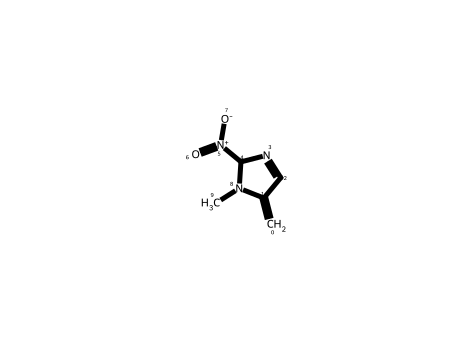 C=C1C=NC([N+](=O)[O-])N1C